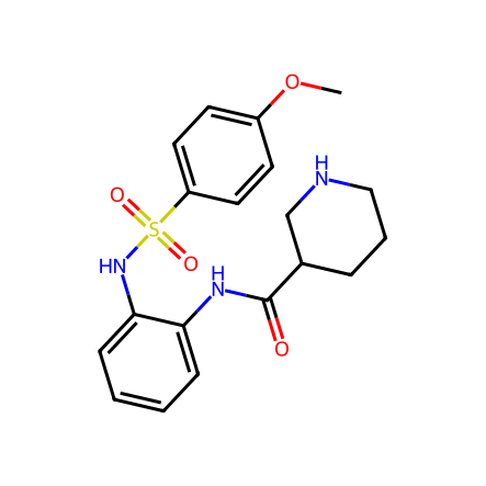 COc1ccc(S(=O)(=O)Nc2ccccc2NC(=O)C2CCCNC2)cc1